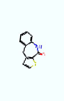 O=C1Nc2ccccc2Cc2ccsc21